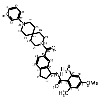 COc1cc(C)c(C(=O)NC2CCc3ccc(C(=O)N4CCC5(CC4)CCN(c4cccnc4)CC5)cc32)c(C)c1